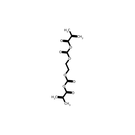 C=C(C)C(=O)OC(=O)OCCOC(=O)OC(=O)C(=C)C